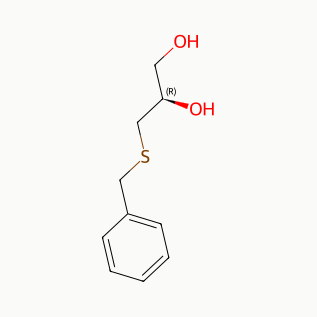 OC[C@@H](O)CSCc1ccccc1